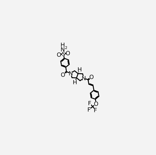 NS(=O)(=O)c1ccc(C(=O)N2C[C@H]3CN(C(=O)/C=C/c4ccc(OC(F)(F)F)cc4)C[C@@H]3C2)cc1